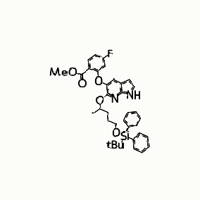 COC(=O)c1ccc(F)cc1Oc1cc2cc[nH]c2nc1OC(C)CCCO[Si](c1ccccc1)(c1ccccc1)C(C)(C)C